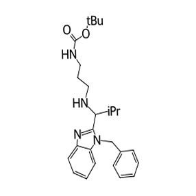 CC(C)C(NCCCNC(=O)OC(C)(C)C)c1nc2ccccc2n1Cc1ccccc1